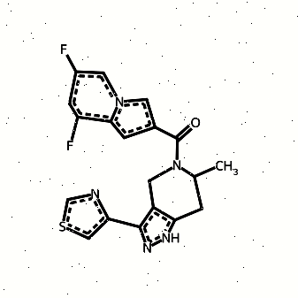 CC1Cc2[nH]nc(-c3cscn3)c2CN1C(=O)c1cc2c(F)cc(F)cn2c1